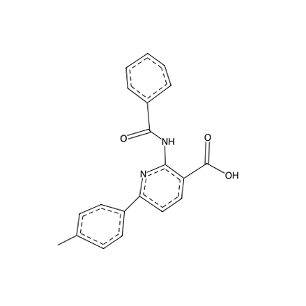 Cc1ccc(-c2ccc(C(=O)O)c(NC(=O)c3ccccc3)n2)cc1